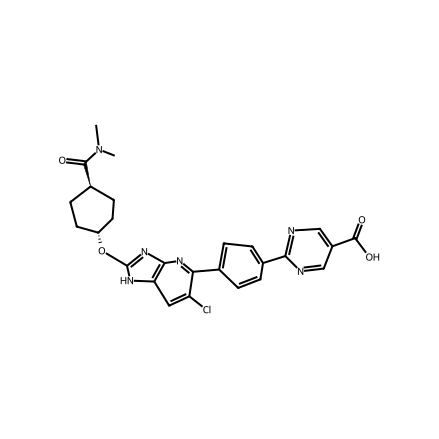 CN(C)C(=O)[C@H]1CC[C@H](Oc2nc3nc(-c4ccc(-c5ncc(C(=O)O)cn5)cc4)c(Cl)cc3[nH]2)CC1